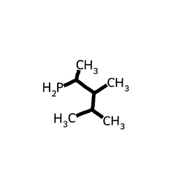 CC(C)C(C)C(C)P